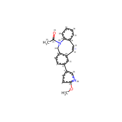 COc1ccc(-c2ccc3c(c2)/C=C\c2ccccc2N(C(C)=O)C3)cn1